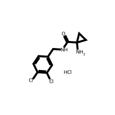 Cl.NC1(C(=O)NCc2ccc(Cl)c(Cl)c2)CC1